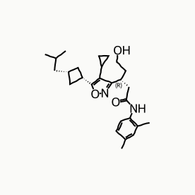 Cc1ccc(NC(=O)C[C@@H](CCO)c2noc([C@H]3C[C@@H](CC(C)C)C3)c2C2CC2)c(C)c1